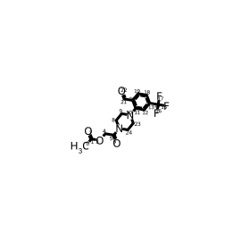 CC(=O)OCC(=O)N1CCN(c2cc(C(F)(F)F)ccc2C=O)CC1